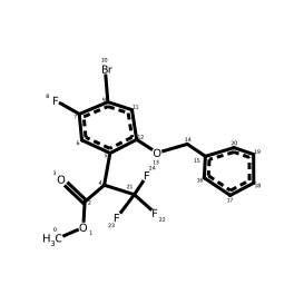 COC(=O)C(c1cc(F)c(Br)cc1OCc1ccccc1)C(F)(F)F